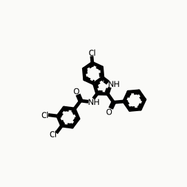 O=C(Nc1c(C(=O)c2ccccc2)[nH]c2cc(Cl)ccc12)c1ccc(Cl)c(Cl)c1